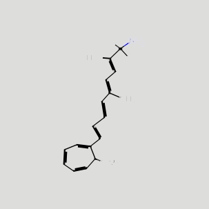 CCC(C)(N)/C(C)=C/C=C(C)/C=C/C=C/C1=CC=CC=CC1OC